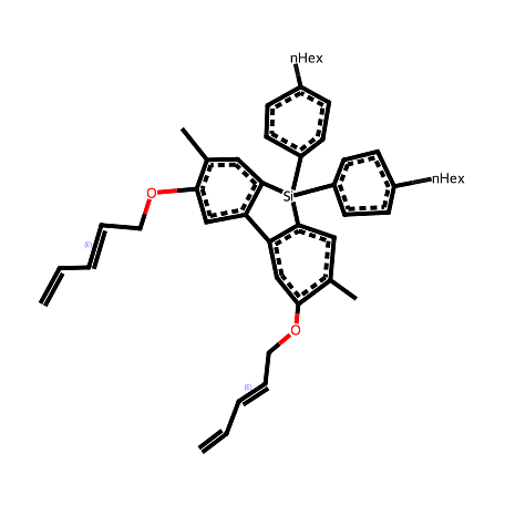 C=C/C=C/COc1cc2c(cc1C)[Si](c1ccc(CCCCCC)cc1)(c1ccc(CCCCCC)cc1)c1cc(C)c(OC/C=C/C=C)cc1-2